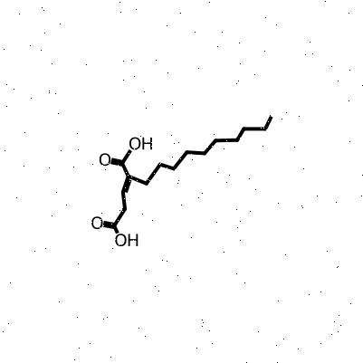 CCCCCCCCCC/C(=C\CC(=O)O)C(=O)O